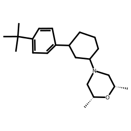 C[C@@H]1CN(C2CCCC(c3ccc(C(C)(C)C)cc3)C2)C[C@H](C)O1